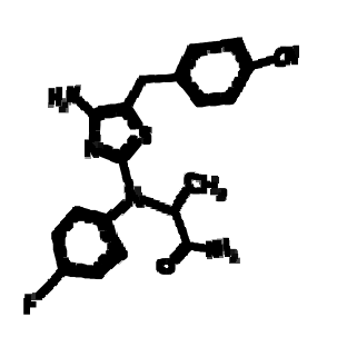 CC(C(N)=O)N(c1ccc(F)cc1)c1nc(N)c(Cc2ccc(C#N)cc2)s1